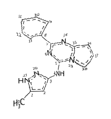 Cc1cc(Nc2nc(-c3ccccc3)nc3cccn23)n[nH]1